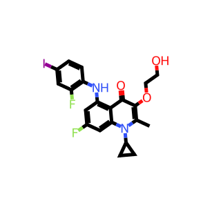 Cc1c(OCCO)c(=O)c2c(Nc3ccc(I)cc3F)cc(F)cc2n1C1CC1